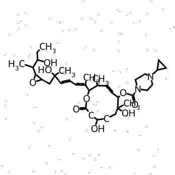 CCC(O)C(C)C1OC1CC(C)(O)/C=C/C=C(\C)C1OC(=O)CC(O)CCC(C)(O)C(OC(=O)N2CCN(C3CC3)CC2)/C=C/C1C